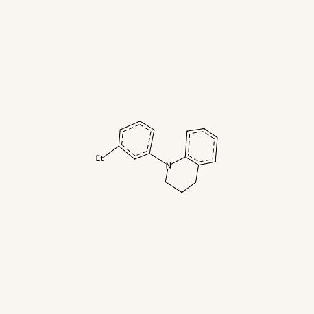 CCc1cccc(N2CCCc3ccccc32)c1